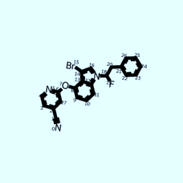 N#Cc1ccnc(Oc2cccc3c2c(Br)cn3C(F)Cc2ccccc2)c1